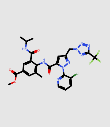 COC(=O)c1cc(C)c(NC(=O)c2cc(Cn3nnc(C(F)(F)F)n3)nn2-c2ncccc2Cl)c(C(=O)NC(C)C)c1